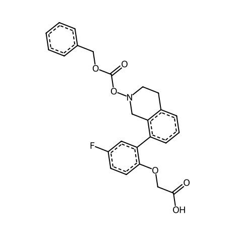 O=C(O)COc1ccc(F)cc1-c1cccc2c1CN(OC(=O)OCc1ccccc1)CC2